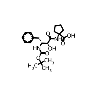 CC(C)(C)OC(=O)N[C@H](Cc1ccccc1)[C@H](O)C(=O)NC1(C(=O)O)CCCC1